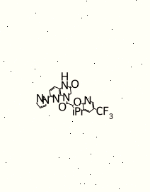 CC(C)C(Oc1ccc(C(F)(F)F)cn1)C(=O)N1CC(=O)Nc2ccc(-n3cccn3)nc21